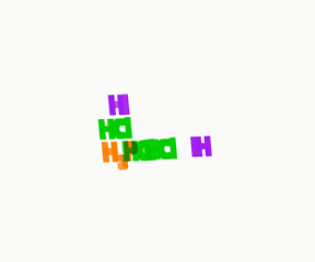 Cl.Cl.Cl.I.I.P